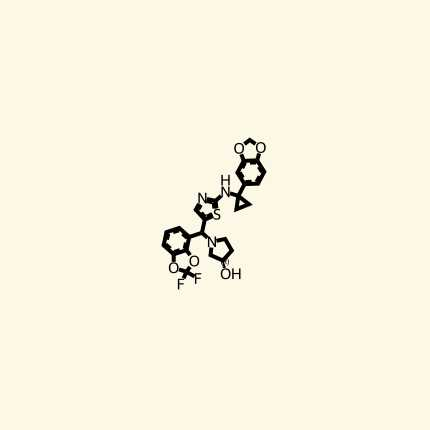 O[C@@H]1CCN(C(c2cnc(NC3(c4ccc5c(c4)OCO5)CC3)s2)c2cccc3c2OC(F)(F)O3)C1